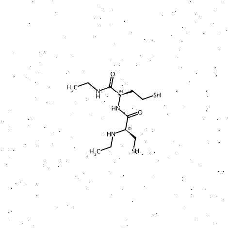 CCNC(=O)[C@@H](CCS)NC(=O)[C@@H](CS)NCC